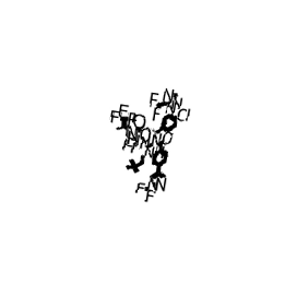 C[C@H](NC(=O)OC[C@H](c1ccc(Cl)c(-n2ncnc2C(F)F)c1)N(C(=N)NCCC(C)(C)C)C(=O)c1ccc(-c2cnn(C(F)F)c2)cc1)C(F)(F)F